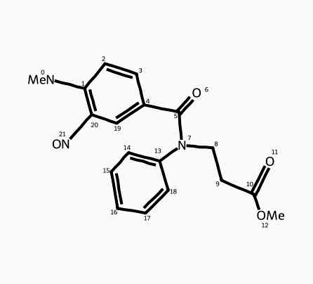 CNc1ccc(C(=O)N(CCC(=O)OC)c2ccccc2)cc1N=O